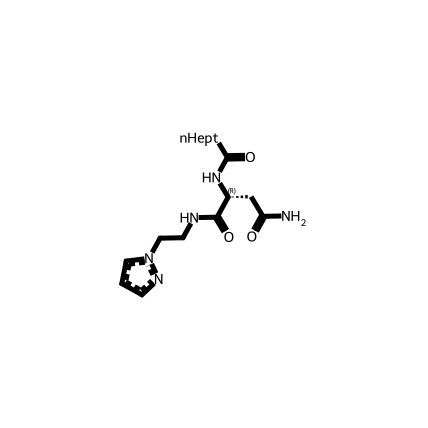 CCCCCCCC(=O)N[C@H](CC(N)=O)C(=O)NCCn1cccn1